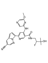 COc1cncc(Nc2cc(-c3ccc4cc(C#N)cnn34)ncc2C(=O)NCC(F)C(C)(C)O)n1